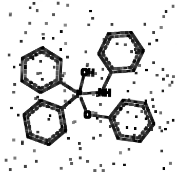 OP(Nc1ccccc1)(Oc1ccccc1)(c1ccccc1)c1ccccc1